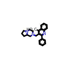 O=C(O)c1c(CN2CCN3CCCC3C2)c(-c2ccccc2)nc2ccccc12